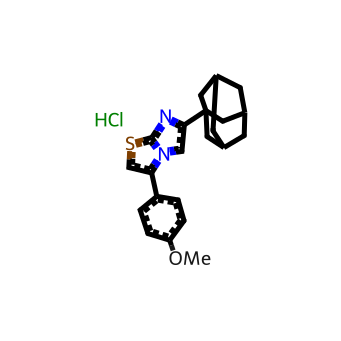 COc1ccc(-c2csc3nc(C45CC6CC(CC(C6)C4)C5)cn23)cc1.Cl